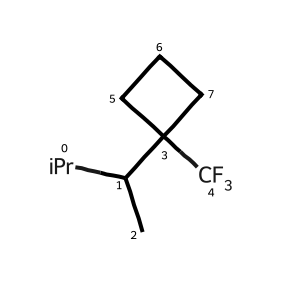 CC(C)C(C)C1(C(F)(F)F)CCC1